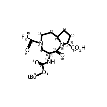 CC(C)(C)OC(=O)N[C@H]1CN(C(=O)C(F)(F)F)CCC2CC[C@@H](C(=O)O)N2C1=O